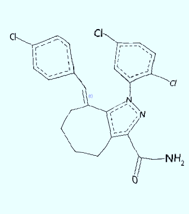 NC(=O)c1nn(-c2cc(Cl)ccc2Cl)c2c1CCCC/C2=C\c1ccc(Cl)cc1